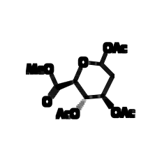 COC(=O)[C@H]1OC(OC(C)=O)C[C@@H](OC(C)=O)[C@@H]1OC(C)=O